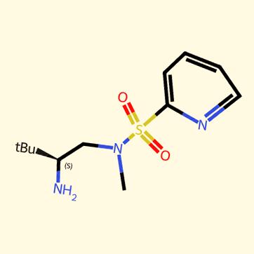 CN(C[C@@H](N)C(C)(C)C)S(=O)(=O)c1ccccn1